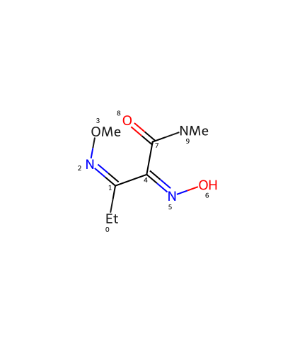 CCC(=NOC)C(=NO)C(=O)NC